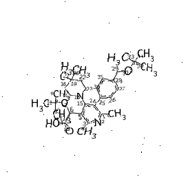 Cc1nc(C)c(C(OC(C)(C)C)C(=O)O)c(N2CCC(C)(C)CC2)c1-c1ccc(COC(C)(C)C)cc1